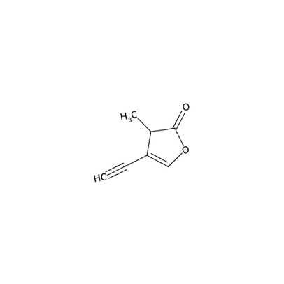 C#CC1=COC(=O)C1C